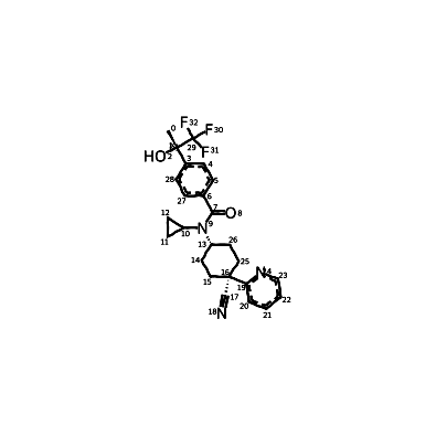 C[C@](O)(c1ccc(C(=O)N(C2CC2)[C@H]2CC[C@](C#N)(c3ccccn3)CC2)cc1)C(F)(F)F